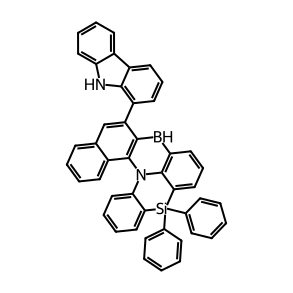 B1c2cccc3c2N(c2ccccc2[Si]3(c2ccccc2)c2ccccc2)c2c1c(-c1cccc3c1[nH]c1ccccc13)cc1ccccc21